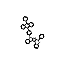 c1ccc(-c2c3ccccc3c(-c3ccc(-n4c5ccccc5c5c6c(oc54)c(-c4ccccc4)nc4ccccc46)cc3)c3ccccc23)cc1